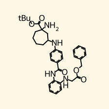 CC(C)(C)OC(=O)C1(N)CCCCC(Nc2ccc(C(=O)Nc3ccccc3NCC(=O)OCc3ccccc3)cc2)C1